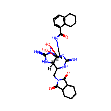 N=C1N[C@H]2C(CN3C(=O)C4CCCCC4C3=O)NC(=N)N3CC(NC(=O)c4cccc5c4CCCC5)C(O)(O)[C@]23N1